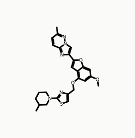 COc1cc(OCc2csc(N3CCCC(C)C3)n2)c2cc(-c3cn4nc(C)ccc4n3)oc2c1